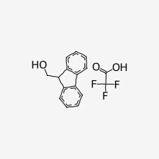 O=C(O)C(F)(F)F.OCC1c2ccccc2-c2ccccc21